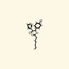 CCCCCCC(=O)SC(c1ccc(Cl)cc1)C(Cl)n1ccnc1